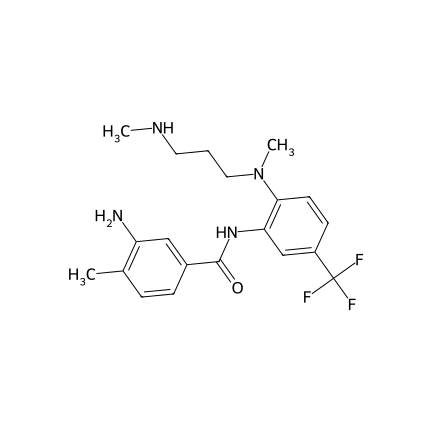 CNCCCN(C)c1ccc(C(F)(F)F)cc1NC(=O)c1ccc(C)c(N)c1